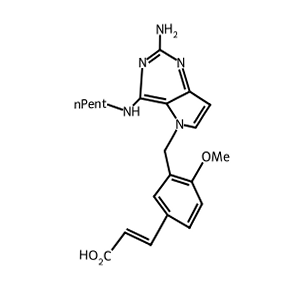 CCCCCNc1nc(N)nc2ccn(Cc3cc(C=CC(=O)O)ccc3OC)c12